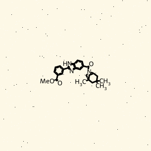 COC(=O)c1cccc(-c2nc3cc(C(=O)N4CC5(C)CC4CC(C)(C)C5)ccc3[nH]2)c1